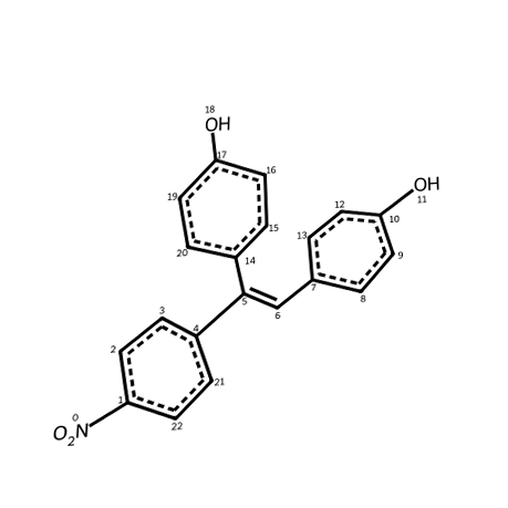 O=[N+]([O-])c1ccc(C(=Cc2ccc(O)cc2)c2ccc(O)cc2)cc1